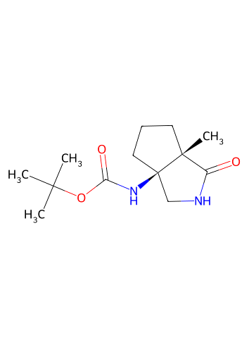 CC(C)(C)OC(=O)N[C@@]12CCC[C@]1(C)C(=O)NC2